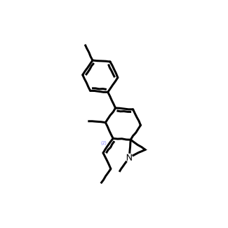 CC/C=C1/C(C)C(c2ccc(C)cc2)=CCC12CN2C